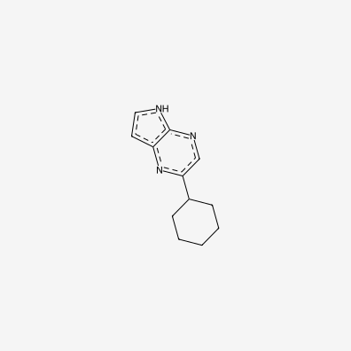 c1cc2nc(C3CCCCC3)cnc2[nH]1